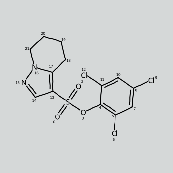 O=S(=O)(Oc1c(Cl)cc(Cl)cc1Cl)c1cnn2c1CCCC2